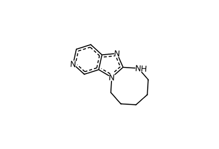 c1cc2nc3n(c2cn1)CCCCCN3